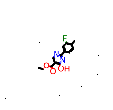 CCOC(=O)c1cnc(-c2ccc(C)c(F)c2)nc1O